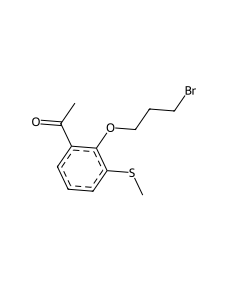 CSc1cccc(C(C)=O)c1OCCCBr